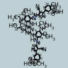 CCN(CC)c1cc(Nc2nc(Nc3cc(N(CC)CC)c(OC)cc3/N=N/c3snc(-c4ccc(C)c(S(=O)(=O)O)c4)c3C#N)nc(SCCO)n2)c(/N=N/c2snc(-c3ccc(C)c(S(=O)(=O)O)c3)c2C#N)cc1OC